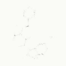 COc1ccc2[nH]c(C)c(C(C)C(=O)N3C(=O)OC[C@H]3Cc3ccccc3)c2c1